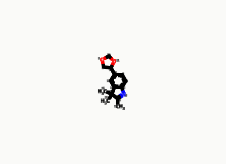 CC1=Nc2ccc(C3COCO3)cc2C1(C)C